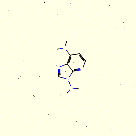 CN(C)c1ccnc2c1ncn2N(C)C